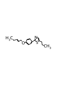 CCC=CCOc1ccc(-c2ncc(CCC)s2)cc1